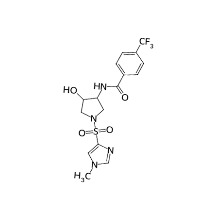 Cn1cnc(S(=O)(=O)N2CC(O)C(NC(=O)c3ccc(C(F)(F)F)cc3)C2)c1